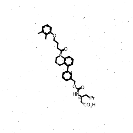 Cc1cccc(OCCCC(=O)N2CCCc3c(-c4cccc(COC(=O)N[C@H](CC(=O)O)CC(C)C)c4)cccc32)c1C